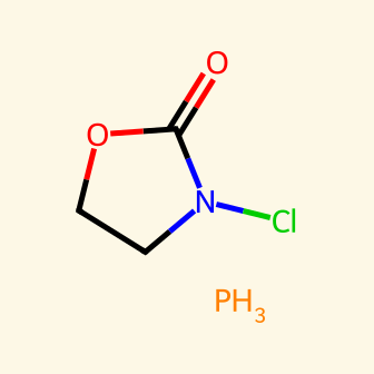 O=C1OCCN1Cl.P